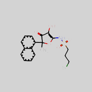 CC1(c2cccc3ccccc23)OC(NS(=O)(=O)CCCBr)=C(O)C1=O